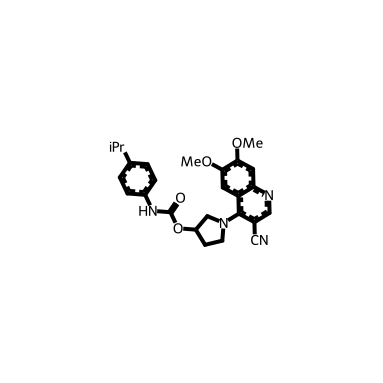 COc1cc2ncc(C#N)c(N3CCC(OC(=O)Nc4ccc(C(C)C)cc4)C3)c2cc1OC